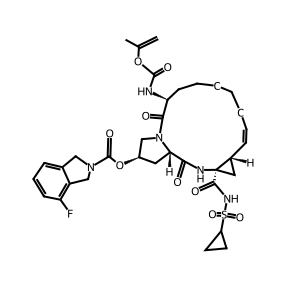 C=C(C)OC(=O)N[C@H]1CCCCC/C=C\[C@@H]2C[C@@]2(C(=O)NS(=O)(=O)C2CC2)NC(=O)[C@@H]2C[C@@H](OC(=O)N3Cc4cccc(F)c4C3)CN2C1=O